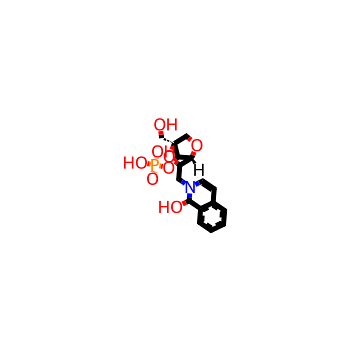 O=P(O)(O)OC1[C@@H]2OC[C@]1(CO)OC2CN1C=Cc2ccccc2C1O